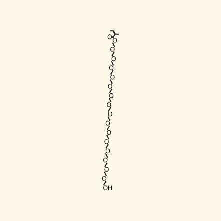 CC=C(C)C(=O)OCCOCCOCCOCCOCCOCCOCCOCCOCCOCCOCCOCCOCCOCCOCCOCCO